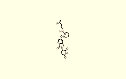 C=C(F)CCCN[C@H]1CCCC[C@H]1Oc1ccc2c(c1)CN(C1CCC(=O)NC1=O)C2=O